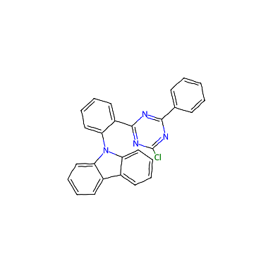 Clc1nc(-c2ccccc2)nc(-c2ccccc2-n2c3ccccc3c3ccccc32)n1